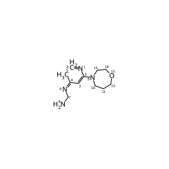 C=N/C(=C\C(C)=N/CN)N1CCCOCC1